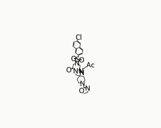 CC(=O)N1CN2C3(CCN(C4=NCCO4)CC3)CN3C(=O)CN(S(=O)(=O)c4ccc5cc(Cl)ccc5c4)CC32C1